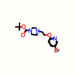 CC(C)(C)OC(=O)N1CCN(CCOc2ccc(Br)cn2)CC1